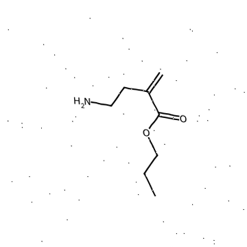 C=C(CCN)C(=O)OCCC